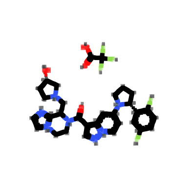 O=C(O)C(F)(F)F.O=C(c1cnn2ccc(N3CCC[C@@H]3c3cc(F)ccc3F)cc12)N1CCn2ccnc2C1CN1CC[C@H](O)C1